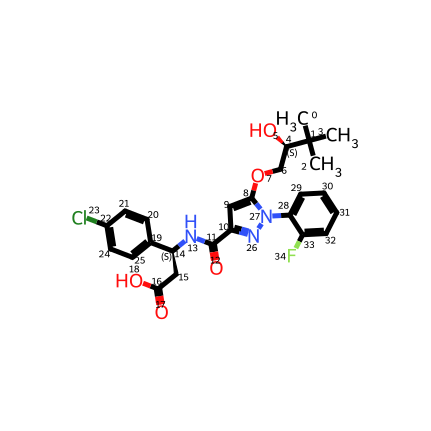 CC(C)(C)[C@H](O)COc1cc(C(=O)N[C@@H](CC(=O)O)c2ccc(Cl)cc2)nn1-c1ccccc1F